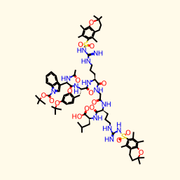 CC(=O)N[C@H](C(=O)N[C@@H](Cc1ccc(OC(C)(C)C)cc1)C(=O)N[C@@H](CCCNC(=N)NS(=O)(=O)c1c(C)c(C)c2c(c1C)CCC(C)(C)O2)C(=O)NCC(=O)N[C@@H](CCCNC(=N)NS(=O)(=O)c1c(C)c(C)c2c(c1C)CCC(C)(C)O2)C(=O)N[C@@H](CC(C)C)C(=O)O)c1cn(C(=O)OC(C)(C)C)c2ccccc12